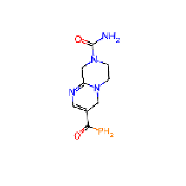 NC(=O)N1CCN2CC(C(=O)P)=CN=C2C1